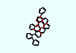 c1ccc(-c2ccc(N(c3ccccc3-c3ccccc3-c3ccccc3-c3ccccc3)c3ccccc3-c3cccc4cccc(C5CCCCC5)c34)c(-c3ccccc3)c2)cc1